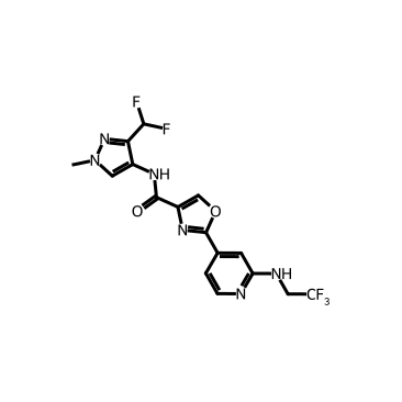 Cn1cc(NC(=O)c2coc(-c3ccnc(NCC(F)(F)F)c3)n2)c(C(F)F)n1